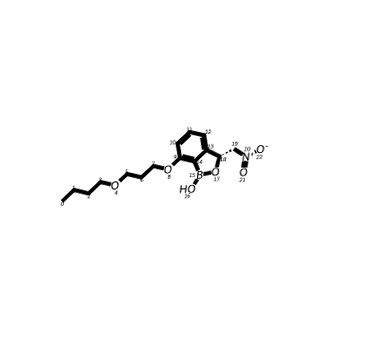 CCCCOCCCOc1cccc2c1B(O)O[C@H]2C[N+](=O)[O-]